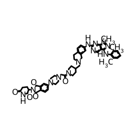 Cc1cccc(C)c1Nc1nn(C)c2nc(Nc3ccc4c(c3)CN(CC3CCN(C(=O)CN5CCN(c6ccc7c(c6)C(=O)N(C6CCC(=O)NC6=O)C7=O)CC5)CC3)CC4)ncc12